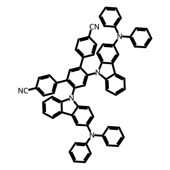 N#Cc1ccc(-c2cc(-c3ccc(C#N)cc3)c(-n3c4ccccc4c4cc(N(c5ccccc5)c5ccccc5)ccc43)cc2-n2c3ccccc3c3cc(N(c4ccccc4)c4ccccc4)ccc32)cc1